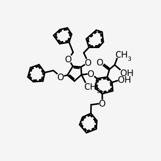 CC(O)C(=O)c1c(O)cc(OCc2ccccc2)cc1OC1(C)C=C(OCc2ccccc2)C(OCc2ccccc2)=C1OCc1ccccc1